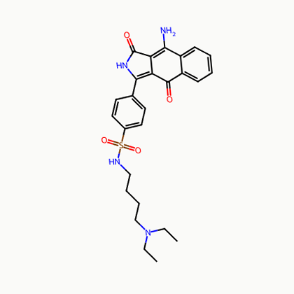 CCN(CC)CCCCNS(=O)(=O)c1ccc(C2=C3C(=O)c4ccccc4C(N)=C3C(=O)N2)cc1